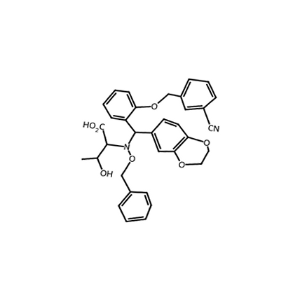 CC(O)C(C(=O)O)N(OCc1ccccc1)C(c1ccc2c(c1)OCCO2)c1ccccc1OCc1cccc(C#N)c1